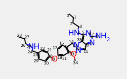 CCCCNc1nc(N)nc2cnn(Cc3ccc(Oc4ccc(CNCCC)cc4)cc3OC)c12